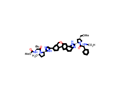 CC[C@H](C)[C@H](NC(=O)OC)C(=O)N1[C@@H](C)CC[C@H]1c1ncc(-c2ccc3c(c2)COc2cc4c(ccc5nc([C@@H]6C[C@H](COC)CN6C(=O)[C@H](NC(=O)O)c6ccccc6)[nH]c54)cc2-3)[nH]1